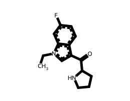 CCn1cc(C(=O)C2CCCN2)c2ccc(F)cc21